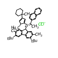 C/[C](c1ccc2ccccc2c1)=[Zr+2](/[C]1=CC(C2(C)CCCCC2)=CC1C)[CH]1c2cc(C)c(C(C)(C)C)cc2-c2cc(C(C)(C)C)c(C)cc21.[Cl-].[Cl-]